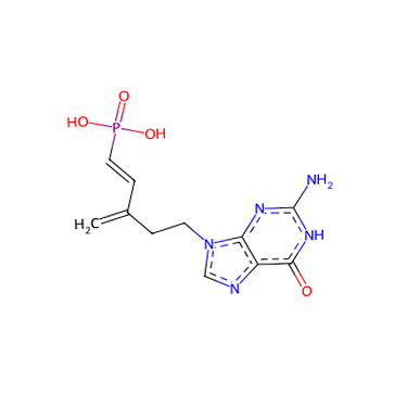 C=C(C=CP(=O)(O)O)CCn1cnc2c(=O)[nH]c(N)nc21